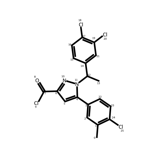 Cc1cc(-c2cc(C(=O)Cl)nn2C(C)c2ccc(Cl)c(Cl)c2)ccc1Cl